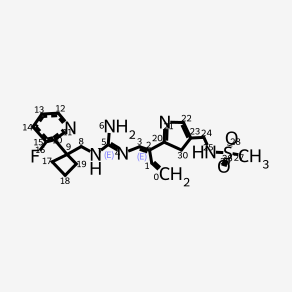 C=C/C(=C\N=C(/N)NCC1(c2ncccc2F)CCC1)C1=NC=C(CNS(C)(=O)=O)C1